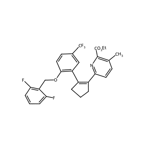 CCOC(=O)c1nc(C2=C(c3cc(C(F)(F)F)ccc3OCc3c(F)cccc3F)CCC2)ccc1C